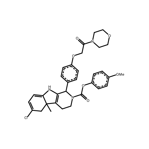 COc1ccc(OC(=O)N2CCC3=C(NC4=CC=C(Cl)CC43C)C2c2ccc(OCC(=O)N3CCOCC3)cc2)cc1